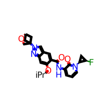 CC(C)Oc1cc2nn(C34COC(C3)C4)cc2cc1C(=O)Nc1cccn([C@H]2C[C@H]2F)c1=O